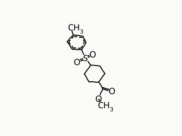 COC(=O)C1CCC(S(=O)(=O)c2ccc(C)cc2)CC1